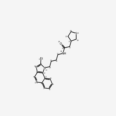 CCc1nc2cnc3ccccc3c2n1CCCCNC(=O)CC1CCSC1